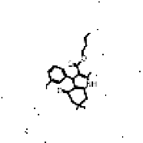 CCCCOC(=O)C1=C(C)NC2=C(C(=O)CC(C)(C)C2)C1c1cccc(I)c1